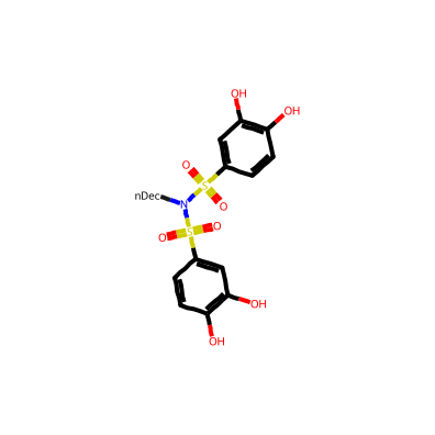 CCCCCCCCCCN(S(=O)(=O)c1ccc(O)c(O)c1)S(=O)(=O)c1ccc(O)c(O)c1